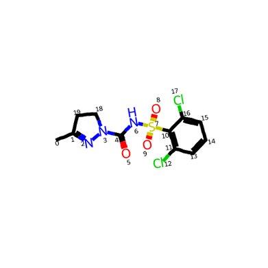 CC1=NN(C(=O)NS(=O)(=O)c2c(Cl)cccc2Cl)CC1